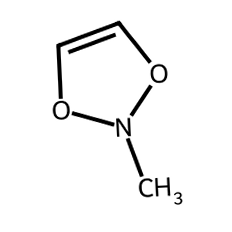 CN1OC=CO1